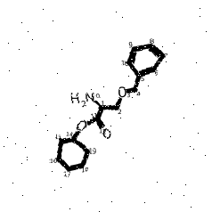 N[C@@H](COCc1ccccc1)C(=O)OC1CCCCC1